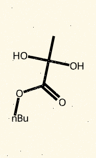 CCCCOC(=O)C(C)(O)O